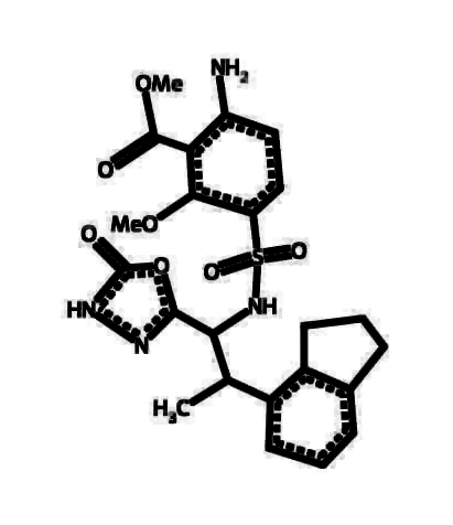 COC(=O)c1c(N)ccc(S(=O)(=O)NC(c2n[nH]c(=O)o2)C(C)c2cccc3c2CCC3)c1OC